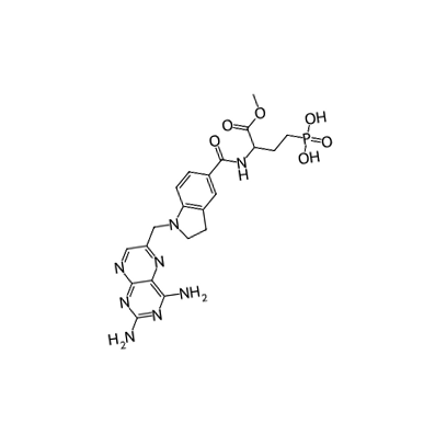 COC(=O)C(CCP(=O)(O)O)NC(=O)c1ccc2c(c1)CCN2Cc1cnc2nc(N)nc(N)c2n1